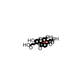 O=C(O)/C=C/c1cc2c(cc1O)Oc1cc(O)c(/C=C/C(=O)O)cc1C21OC(=O)c2ccc(C(=O)O)cc21